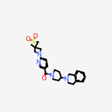 O=C(c1ccc(N2CC3(C2)CS(=O)(=O)C3)nc1)N1CCC(N2CCc3ccccc3C2)CC1